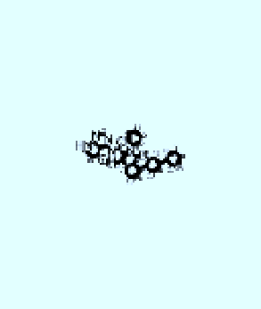 C[C@H](Nc1ncnc2[nH]ccc(=O)c12)c1c(Cl)c2cccc(-c3ccc(-c4ccccc4)cc3)c2c(=O)n1-c1ccccc1